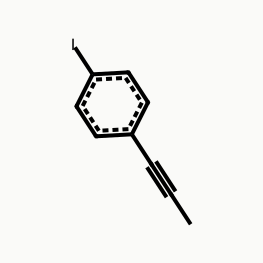 CC#Cc1ccc(I)cc1